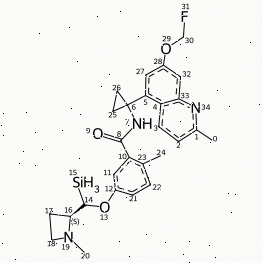 Cc1ccc2c(C3(NC(=O)c4cc(OC([SiH3])[C@@H]5CCN5C)ccc4C)CC3)cc(OCF)cc2n1